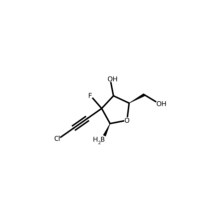 B[C@@H]1O[C@H](CO)C(O)C1(F)C#CCl